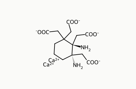 N[C@]1(CC(=O)[O-])CCCC(CC(=O)[O-])(CC(=O)[O-])[C@]1(N)CC(=O)[O-].[Ca+2].[Ca+2]